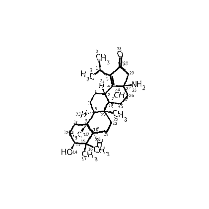 CC(C)C1=C2[C@H]3CC[C@@H]4[C@@]5(C)CC[C@H](O)C(C)(C)[C@@H]5CC[C@@]4(C)[C@]3(C)CC[C@@]2(N)CC1=O